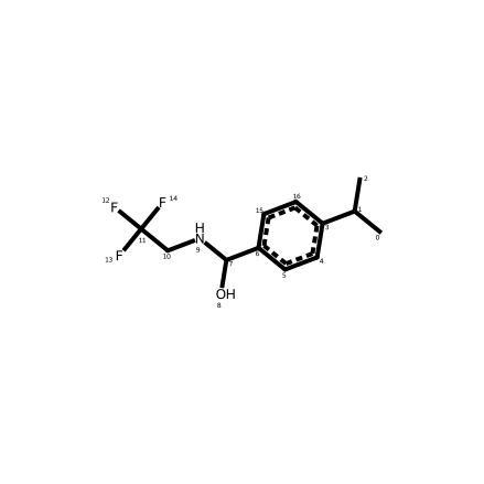 CC(C)c1ccc(C(O)NCC(F)(F)F)cc1